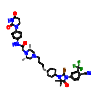 C[C@@H]1CN(CCCC[C@H]2CC[C@H](N3C(=S)N(c4ccc(C#N)c(C(F)(F)F)c4)C(=O)C3(C)C)CC2)C[C@H](C)N1CC(=O)Nc1ccc(N2CCC(=O)NC2=O)cc1